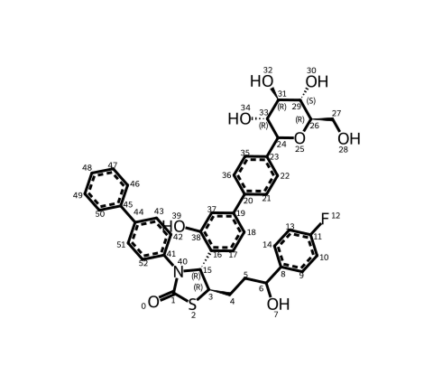 O=C1S[C@H](CCC(O)c2ccc(F)cc2)[C@@H](c2ccc(-c3ccc(C4O[C@H](CO)[C@@H](O)[C@H](O)[C@H]4O)cc3)cc2O)N1c1ccc(-c2ccccc2)cc1